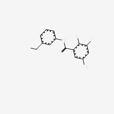 CCc1cccc(NC(=O)c2cc(Cl)cc(Cl)c2C)c1